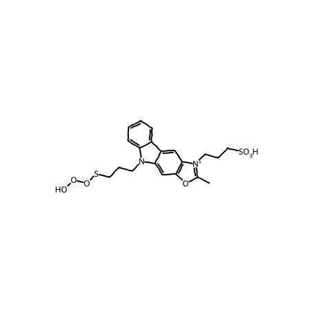 Cc1oc2cc3c(cc2[n+]1CCCS(=O)(=O)O)c1ccccc1n3CCCSOOO